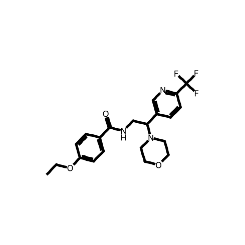 CCOc1ccc(C(=O)NCC(c2ccc(C(F)(F)F)nc2)N2CCOCC2)cc1